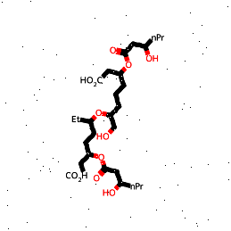 CCCC(O)CC(=O)OC(CCCC(CO)OC(CC)CCC(CC(=O)O)OC(=O)CC(O)CCC)CC(=O)O